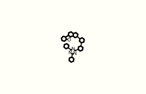 c1ccc(-c2nc(-c3ccccc3)nc(-c3cccc(-c4cccc(-c5ccc6ccc7c8ccccc8oc7c6c5)c4)c3)n2)cc1